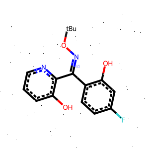 CC(C)(C)O/N=C(/c1ccc(F)cc1O)c1ncccc1O